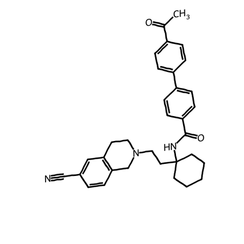 CC(=O)c1ccc(-c2ccc(C(=O)NC3(CCN4CCc5cc(C#N)ccc5C4)CCCCC3)cc2)cc1